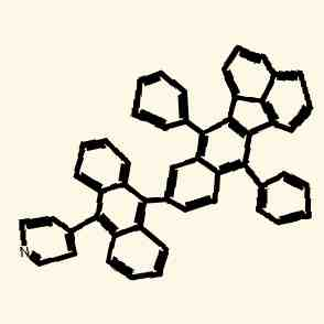 c1ccc(-c2c3c(c(-c4ccccc4)c4cc(-c5c6ccccc6c(-c6ccncc6)c6ccccc56)ccc24)-c2cccc4cccc-3c24)cc1